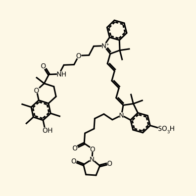 Cc1c(C)c2c(c(C)c1O)CCC(C)(C(=O)NCCOCC[N+]1=C(/C=C/C=C/C=C3/N(CCCCCC(=O)ON4C(=O)CCC4=O)c4ccc(S(=O)(=O)O)cc4C3(C)C)C(C)(C)c3ccccc31)O2